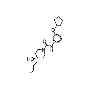 CCCCC1(O)CCN(C(=O)Nc2cccc(OC3CCCC3)c2)CC1